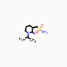 CC(C)N1CCCC(CS(N)(=O)=O)C1I